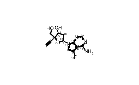 C#C[C@]1(CO)O[C@H](n2cc(F)c3c(N)ncnc32)C[C@@H]1O